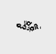 OC1CCC(Nc2nc(Cc3ccccc3)cc(Nc3nc4ccc(N5CCCS5(O)O)cc4s3)n2)CC1